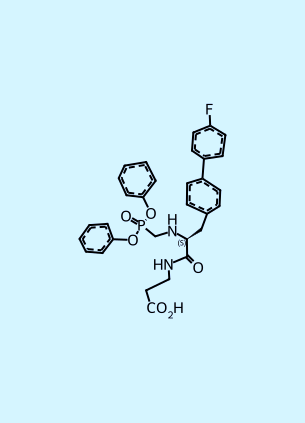 O=C(O)CCNC(=O)[C@H](Cc1ccc(-c2ccc(F)cc2)cc1)NCP(=O)(Oc1ccccc1)Oc1ccccc1